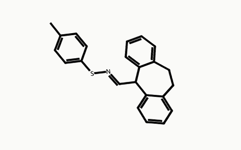 Cc1ccc(S/N=C/C2c3ccccc3CCc3ccccc32)cc1